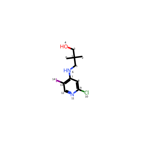 CC(C)(CO)CNc1cc(Cl)ncc1I